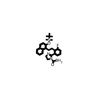 BC(=O)N1CCN=C1c1cccc(F)c1CCc1c(O[Si](C)(C)C(C)(C)C)ccc2ccccc12